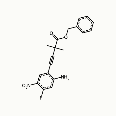 CC(C)(C#Cc1cc([N+](=O)[O-])c(F)cc1N)C(=O)OCc1ccccc1